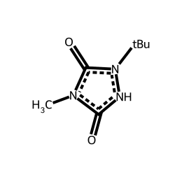 Cn1c(=O)[nH]n(C(C)(C)C)c1=O